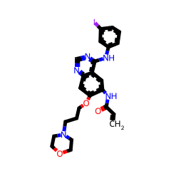 C=CC(=O)Nc1cc2c(Nc3cccc(I)c3)ncnc2cc1OCCCN1CCOCC1